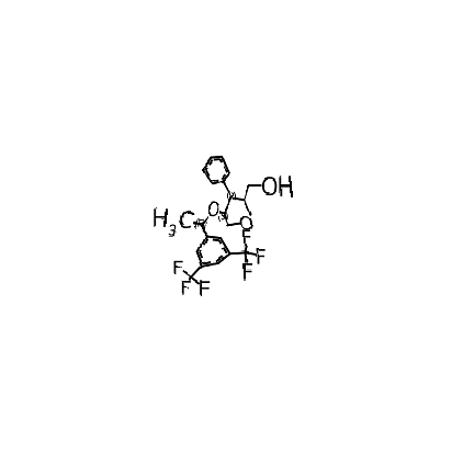 C[C@@H](O[C@@H]1COCC(CO)[C@@H]1c1ccccc1)c1cc(C(F)(F)F)cc(C(F)(F)F)c1